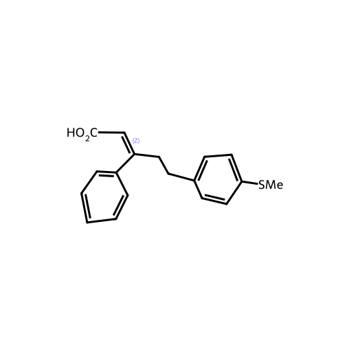 CSc1ccc(CC/C(=C/C(=O)O)c2ccccc2)cc1